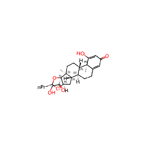 CCCC1O[C@@H]2C[C@H]3[C@@H]4CCC5=CC(=O)C=C(O)[C@]5(C)[C@H]4CC[C@]3(C)[C@]2(C(=O)CO)O1